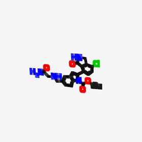 CC(C)(C)OC(=O)n1c(-c2ccc(Cl)c3c2C(=O)NC3)cc2cc(CNCC(N)=O)ccc21